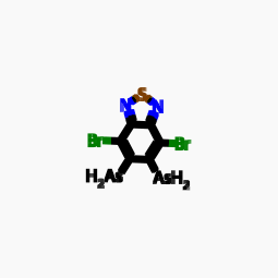 [AsH2]c1c([AsH2])c(Br)c2nsnc2c1Br